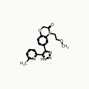 COCCN1C(=O)COc2ccc(-c3nn[nH]c3-c3cccc(C)n3)cc21